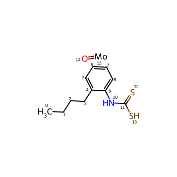 CCCCc1ccccc1NC(=S)S.[O]=[Mo]